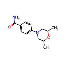 CC1CN(c2ccc(C(N)=O)cc2)CC(C)O1